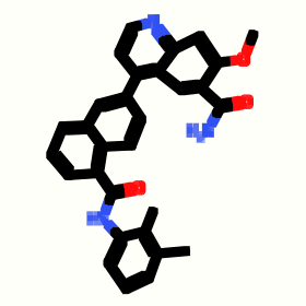 COc1cc2nccc(-c3ccc4c(C(=O)Nc5cccc(C)c5C)cccc4c3)c2cc1C(N)=O